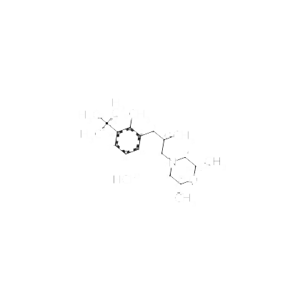 Cc1c(CC(C)CN2C[C@@H](C)O[C@@H](C)C2)cccc1C(C)(C)C.Cl